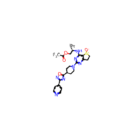 CC(C)[C@H](COC(=O)C(F)(F)F)Nc1nc(N2CCC(c3nc(-c4ccncc4)no3)CC2)nc2c1[S+]([O-])CC2